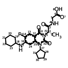 C[C@@H](C(=O)NCC(=O)O)n1c(=O)c2cc(F)c(NC3CCCCC3)cc2n(C2CCCC2)c1=O